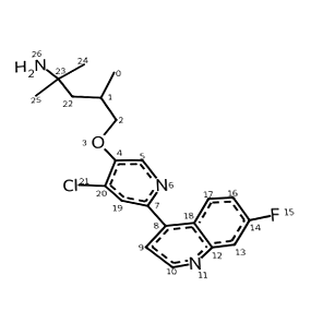 CC(COc1cnc(-c2ccnc3cc(F)ccc23)cc1Cl)CC(C)(C)N